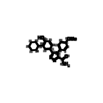 COc1ccc(-n2c(C(N)=O)nnc2-c2ccc(O)c(C3CCCCC3)c2)cc1